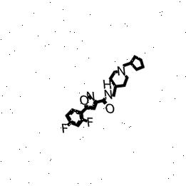 O=C(NCC1CCN(CC2CCCC2)CC1)c1cc(-c2ccc(F)cc2F)on1